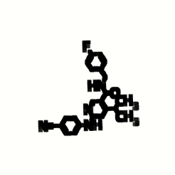 CC(C)c1cc(Nc2ccc(C#N)cc2)ncc1C(=O)NCc1ccc(F)cc1